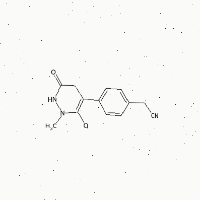 CN1NC(=O)CC(c2ccc(CC#N)cc2)=C1Cl